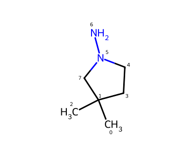 CC1(C)CCN(N)C1